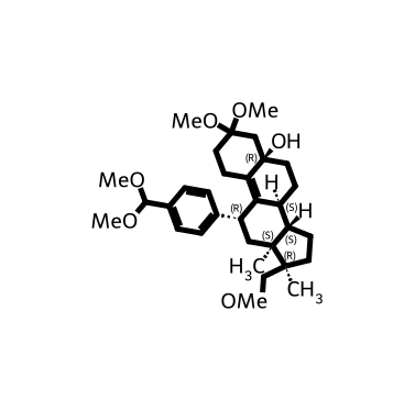 COC[C@]1(C)CC[C@H]2[C@@H]3CC[C@@]4(O)CC(OC)(OC)CCC4=C3[C@@H](c3ccc(C(OC)OC)cc3)C[C@@]21C